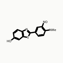 CNc1ccc(-c2nc3ccc(O)cc3s2)cc1N=O